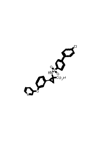 O=C(O)C1(NS(=O)(=O)c2ccc(-c3ccc(Cl)cc3)cc2)C[C@H]1c1cccc(Oc2cccnc2)c1